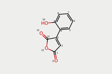 O=C1C=C(c2ccccc2O)C(=O)O1